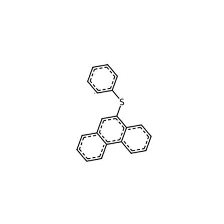 [c]1ccccc1Sc1cc2ccccc2c2ccccc12